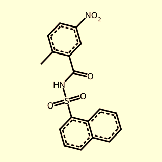 Cc1ccc([N+](=O)[O-])cc1C(=O)NS(=O)(=O)c1cccc2ccccc12